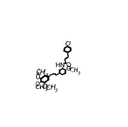 COc1ccc(/C=C/c2cc(OC)c(OC)c(OC)c2)cc1NC(=O)/C=C/c1ccc(Cl)cc1